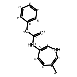 CC1=CNC=C(NC(=O)Oc2ccccc2)C=C1